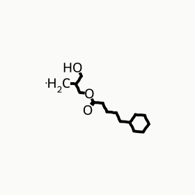 [CH2]C(CO)COC(=O)CCCCC1CCCCC1